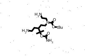 CC(C)(C)OC(=O)N(CCN)CCC(CCN)C(C)(C)OC(N)=O